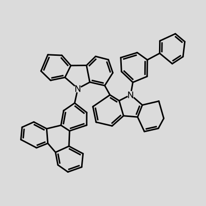 C1=Cc2c(n(-c3cccc(-c4ccccc4)c3)c3c(-c4cccc5c6ccccc6n(-c6ccc7c8ccccc8c8ccccc8c7c6)c45)cccc23)CC1